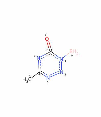 Bn1nnc(C)nc1=O